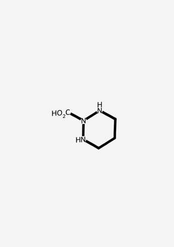 O=C(O)N1NCCCN1